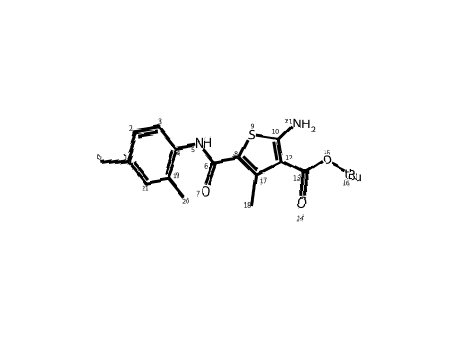 Cc1ccc(NC(=O)c2sc(N)c(C(=O)OC(C)(C)C)c2C)c(C)c1